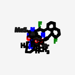 CSc1nc2c3c(nc(-c4cccc5ccc(F)c(C#C[Si](C(C)C)(C(C)C)C(C)C)c45)c(F)c3n1)O[C@@H](C)[C@@H]1[C@@H]3CC[C@H](CN21)N3C(=O)OC(C)(C)C